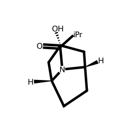 CC(C)C(=O)N1[C@@H]2CC[C@H]1C[C@@H](O)C2